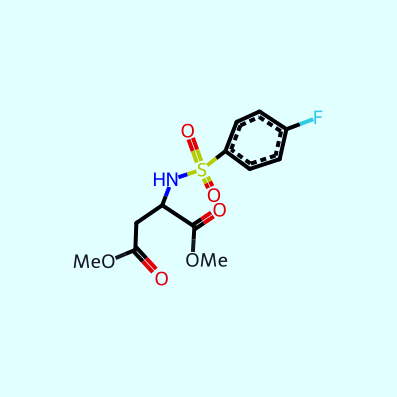 COC(=O)CC(NS(=O)(=O)c1ccc(F)cc1)C(=O)OC